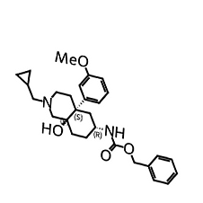 COc1cccc([C@@]23CCN(CC4CC4)C[C@@]2(O)CC[C@@H](NC(=O)OCc2ccccc2)C3)c1